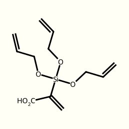 C=CCO[Si](OCC=C)(OCC=C)C(=C)C(=O)O